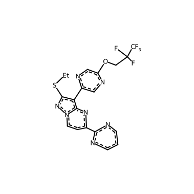 CCSc1nn2ccc(-c3ncccn3)nc2c1-c1cnc(OCC(F)(F)C(F)(F)F)cn1